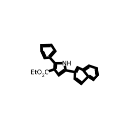 CCOC(=O)c1cc(-c2ccc3ccccc3c2)[nH]c1-c1ccccc1